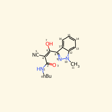 CCCCNC(=O)C(C#N)=C(O)c1nn(C)c2ccccc12